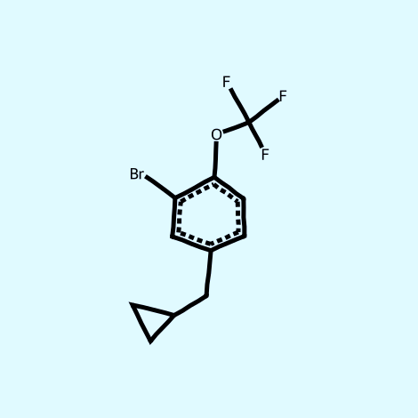 FC(F)(F)Oc1ccc(CC2CC2)cc1Br